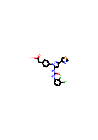 O=C(O)Cc1ccc(-n2nc(-c3cscn3)cc2NC(=O)Nc2cccc(Cl)c2Cl)cc1